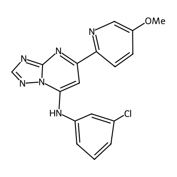 COc1ccc(-c2cc(Nc3cccc(Cl)c3)n3ncnc3n2)nc1